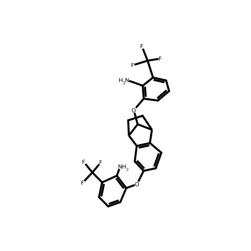 Nc1c(Oc2ccc3c(c2)C2CCC3C2Oc2cccc(C(F)(F)F)c2N)cccc1C(F)(F)F